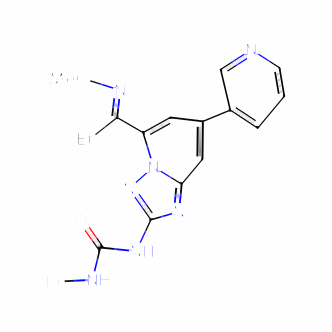 CCNC(=O)Nc1nc2cc(-c3cccnc3)cc(/C(CC)=N/OC)n2n1